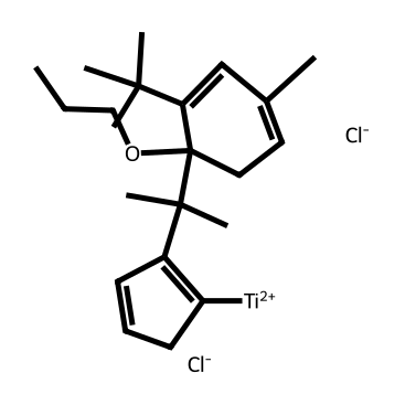 CCCOC1(C(C)(C)C2=[C]([Ti+2])CC=C2)CC=C(C)C=C1C(C)(C)C.[Cl-].[Cl-]